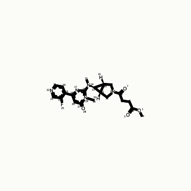 COC(=O)CCC(=O)N1C[C@@H]2[C@H](C1)[C@H]2N(C)c1nc(-c2ccncc2F)cc(=O)n1C